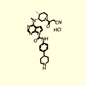 C[C@@H]1CCN(C(=O)CC#N)C[C@@H]1N(C)c1ncnc2c1ccn2C(=O)Nc1ccc(C2CCNCC2)cc1.Cl